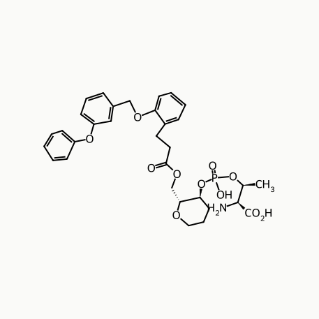 C[C@H](OP(=O)(O)O[C@H]1CCCO[C@@H]1COC(=O)CCc1ccccc1OCc1cccc(Oc2ccccc2)c1)[C@H](N)C(=O)O